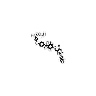 CC(C)(c1ccc(OCc2nc(N3CC4(COC4)C3)ncc2F)cc1)c1ccc(OC2CC(NC(=O)O)C2)cc1